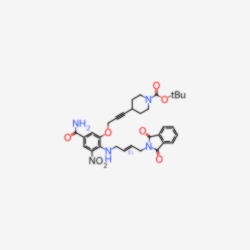 CC(C)(C)OC(=O)N1CCC(C#CCOc2cc(C(N)=O)cc([N+](=O)[O-])c2NC/C=C/CN2C(=O)c3ccccc3C2=O)CC1